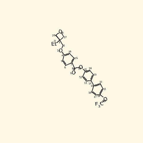 CCC1(COc2ccc(C(=O)Oc3ccc(-c4ccc(OC(F)(F)F)cc4)cc3)cc2)COC1